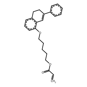 C=CC(=O)OCCCCCOc1cccc2c1C=C(c1ccccc1)CC2